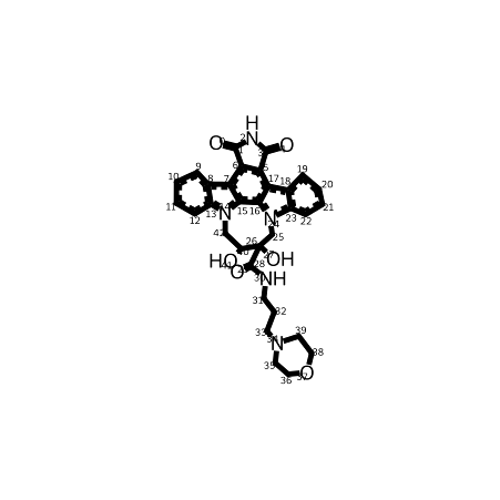 O=C1NC(=O)c2c1c1c3ccccc3n3c1c1c2c2ccccc2n1CC(O)(C(=O)NCCCN1CCOCC1)C(O)C3